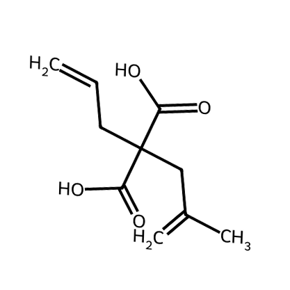 C=CCC(CC(=C)C)(C(=O)O)C(=O)O